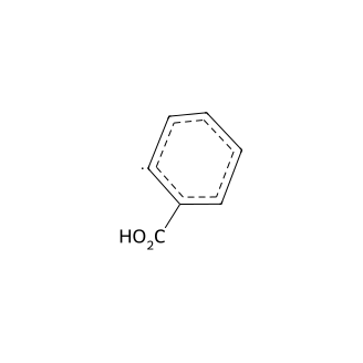 O=C(O)c1[c]cccc1